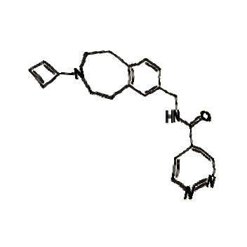 O=C(NCc1ccc2c(c1)CCN(C1=CC=C1)CC2)c1ccnnc1